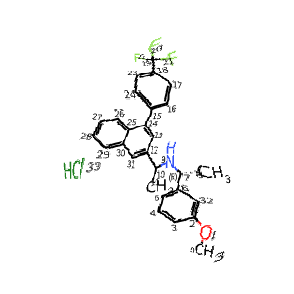 COc1cccc([C@@H](C)NC(C)c2cc(-c3ccc(C(F)(F)F)cc3)c3ccccc3c2)c1.Cl